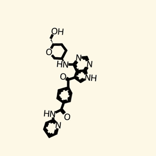 O=C(Nc1ccccn1)c1ccc(C(=O)c2c[nH]c3ncnc(N[C@@H]4CC[C@@H](CO)OC4)c23)cc1